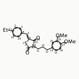 CCc1ccc(/C=C2\SC(=O)N(CCCc3ccc(OC)c(OC)c3)C2=O)cc1